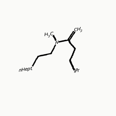 C=C(CCC(C)C)N(C)CCCCCCCCC